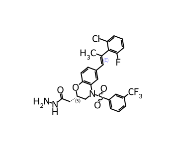 C/C(=C\c1ccc2c(c1)N(S(=O)(=O)c1cccc(C(F)(F)F)c1)C[C@H](CC(=O)NN)O2)c1c(F)cccc1Cl